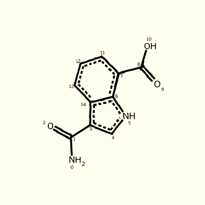 NC(=O)c1c[nH]c2c(C(=O)O)cccc12